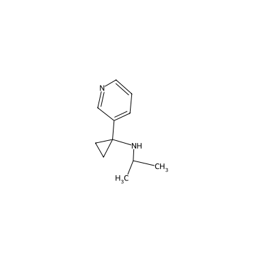 CC(C)NC1(c2cccnc2)CC1